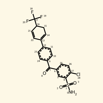 NS(=O)(=O)c1cc(C(=O)c2ccc(C3=CCC(C(F)(F)F)C=C3)cc2)ccc1Cl